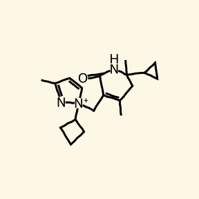 CC1=N[N+](CC2=C(C)CC(C)(C3CC3)NC2=O)(C2CCC2)C=C1